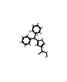 CCC(C)C1=CCC(C(c2ccccc2)c2ccccc2)=C1